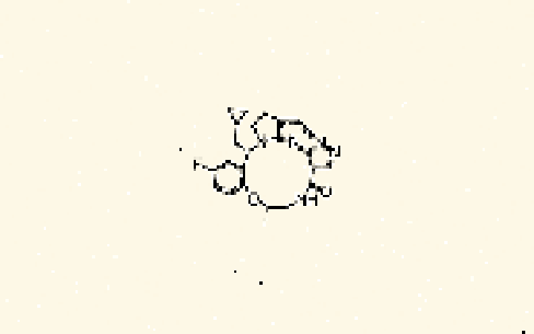 C[C@H]1CNC(=O)c2cnn3cc4c(nc23)N(CC4)[C@H](CC2CC2)c2cc(F)ccc2O1